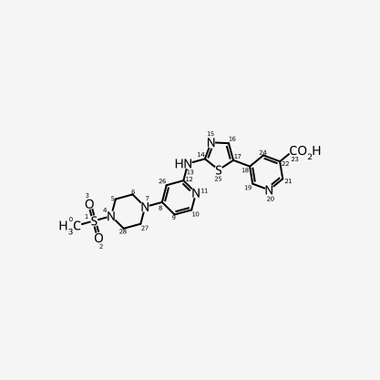 CS(=O)(=O)N1CCN(c2ccnc(Nc3ncc(-c4cncc(C(=O)O)c4)s3)c2)CC1